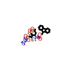 CCN(C(=O)OCC1c2ccccc2-c2ccccc21)[C@H]1CC(C)S(=O)(=O)c2sc(S(=O)(=O)/N=C/N(C)C)cc21